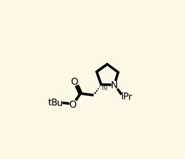 CC(C)N1CCC[C@H]1CC(=O)OC(C)(C)C